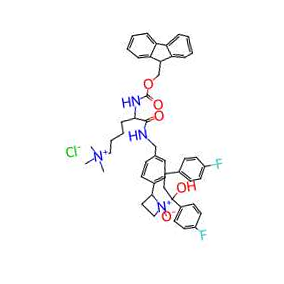 C[N+](C)(C)CCCCC(NC(=O)OCC1c2ccccc2-c2ccccc21)C(=O)NCc1ccc(C2CC[N+]2([O-])C(O)(CCc2ccc(F)cc2)c2ccc(F)cc2)cc1.[Cl-]